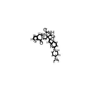 CN(C)C1CCN(c2ccc3oc(C4(CN5CCc6ccsc6C5=O)NC(=O)NC4=O)cc3n2)CC1